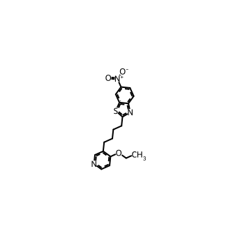 CCOc1ccncc1CCCCc1nc2ccc([N+](=O)[O-])cc2s1